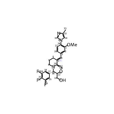 COc1cc(/C=C2\CCCN3C2=NOC(CO)[C@@H]3c2cc(F)c(F)c(F)c2)ccc1-n1cnc(C)c1